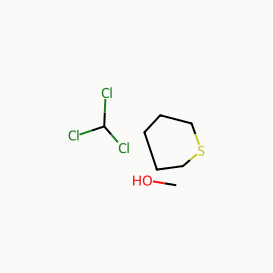 C1CCSCC1.CO.ClC(Cl)Cl